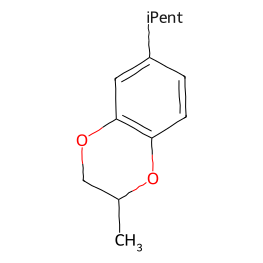 CCCC(C)c1ccc2c(c1)OCC(C)O2